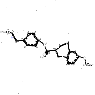 CCCCCCCCCCOc1ccc2c(c1)CCC(C(=O)Oc1ccc(/C=C/C(=O)O)cc1)C2